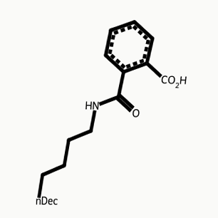 CCCCCCCCCCCCCCNC(=O)c1ccccc1C(=O)O